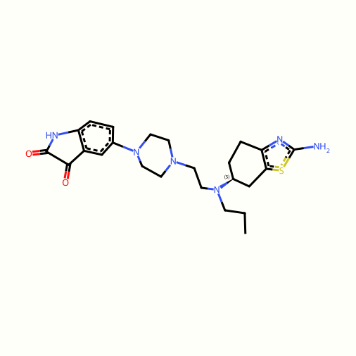 CCCN(CCN1CCN(c2ccc3c(c2)C(=O)C(=O)N3)CC1)[C@H]1CCc2nc(N)sc2C1